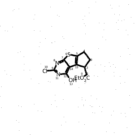 CCOC(=O)CC1CCc2sc3nc(Cl)nc(O)c3c21